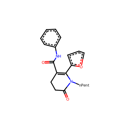 CCCCCN1C(=O)CCC(C(=O)Nc2ccccc2)=C1c1ccco1